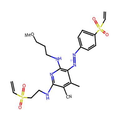 C=CS(=O)(=O)CCNc1nc(NCCCOC)c(/N=N/c2ccc(S(=O)(=O)C=C)cc2)c(C)c1C#N